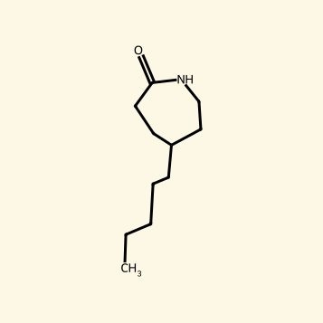 CCCCCC1CCNC(=O)CC1